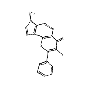 Cn1cnc2c3oc(-c4ccccc4)c(I)c(=O)c3ccc21